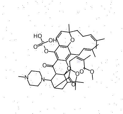 COC(=O)/C(C)=C\CC12OC(C)(C)C3CC(C1=O)C(N1CCN(C)CC1)C1C(=O)c4c(OP(=O)(O)O)c5c(c(CC=C(C)C)c4OC132)OC(C)(CCC=C(C)C)C=C5